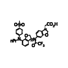 CCCN(c1ccc(S(C)(=O)=O)cc1)c1cccc2c1OC[C@H]2N(C(=O)C(F)(F)F)c1ccc2c(c1)OC[C@H]2CC(=O)O